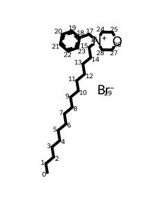 CCCCCCCCCCCCCCCC[N+]1(Cc2ccccc2)CCOCC1.[Br-]